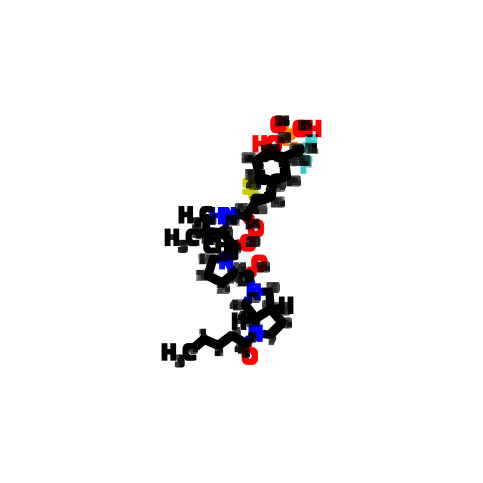 CCCCC(=O)N1CC[C@@H]2CN(C(=O)[C@@H]3CCCN3C(=O)[C@@H](NC(=O)c3cc4cc(C(F)(F)P(=O)(O)O)ccc4s3)C(C)(C)C)C[C@@H]21